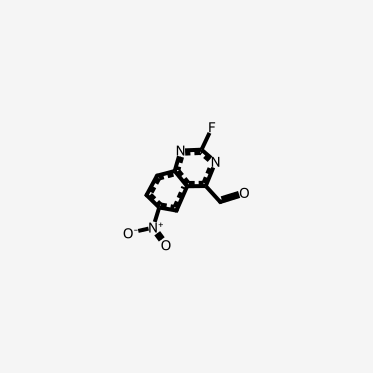 O=Cc1nc(F)nc2ccc([N+](=O)[O-])cc12